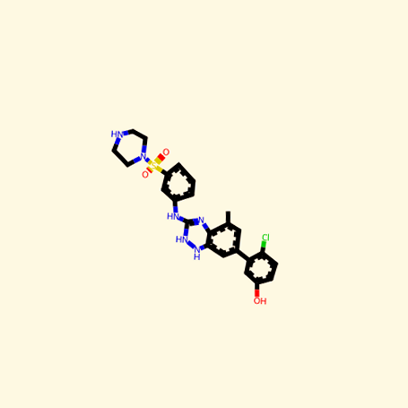 Cc1cc(-c2cc(O)ccc2Cl)cc2c1N=C(Nc1cccc(S(=O)(=O)N3CCNCC3)c1)NN2